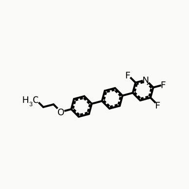 CCCOc1ccc(-c2ccc(-c3cc(F)c(F)nc3F)cc2)cc1